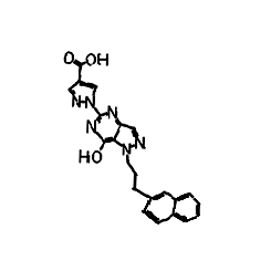 O=C(O)c1cnn(-c2nc(O)c3c(cnn3CCCc3ccc4ccccc4c3)n2)c1